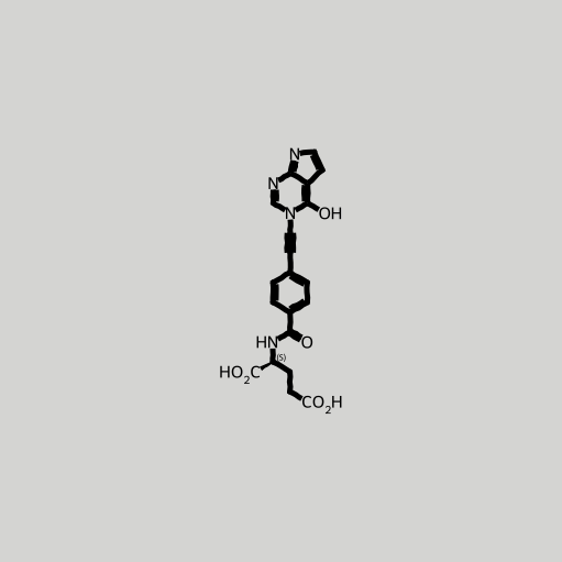 O=C(O)CC[C@H](NC(=O)c1ccc(C#Cn2cnc3nccc-3c2O)cc1)C(=O)O